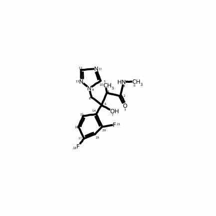 CNC(=O)C(C)C(O)(Cn1cncn1)c1ccc(F)cc1F